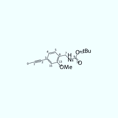 CC#Cc1ccc(CNC(=O)OC(C)(C)C)c(OC)c1